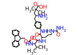 CC(C)C(NC(=O)OCC1c2ccccc2-c2ccccc21)C(=O)NC(CCCNC(N)=O)C(=O)Nc1ccc(CC(N)CC(C)(C)C(=O)O)cc1